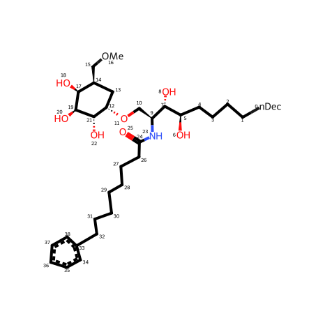 CCCCCCCCCCCCCC[C@@H](O)[C@@H](O)[C@H](CO[C@H]1C[C@H](COC)[C@H](O)[C@H](O)[C@H]1O)NC(=O)CCCCCCCc1ccccc1